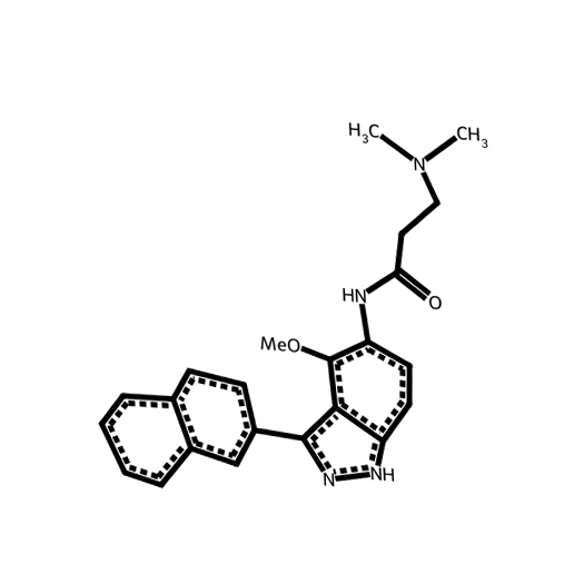 COc1c(NC(=O)CCN(C)C)ccc2[nH]nc(-c3ccc4ccccc4c3)c12